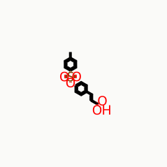 Cc1ccc(S(=O)(=O)Oc2ccc(C=CC(=O)O)cc2)cc1